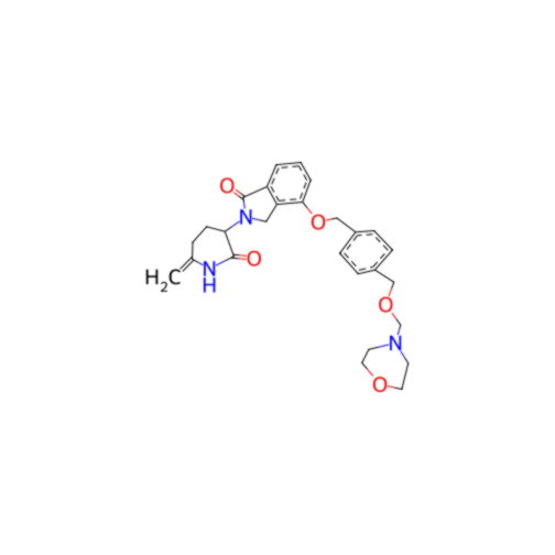 C=C1CCC(N2Cc3c(OCc4ccc(COCN5CCOCC5)cc4)cccc3C2=O)C(=O)N1